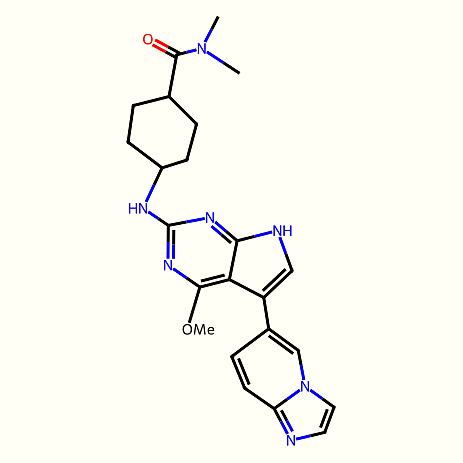 COc1nc(NC2CCC(C(=O)N(C)C)CC2)nc2[nH]cc(-c3ccc4nccn4c3)c12